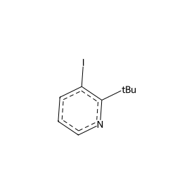 CC(C)(C)c1ncccc1I